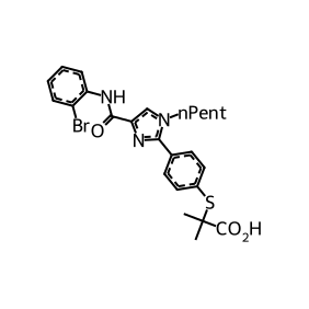 CCCCCn1cc(C(=O)Nc2ccccc2Br)nc1-c1ccc(SC(C)(C)C(=O)O)cc1